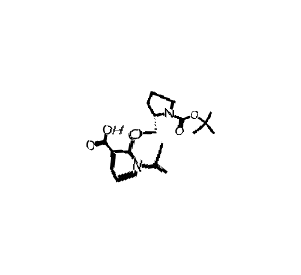 CC(C)N1C=CC=C(C(=O)O)C1OC[C@@H]1CCCN1C(=O)OC(C)(C)C